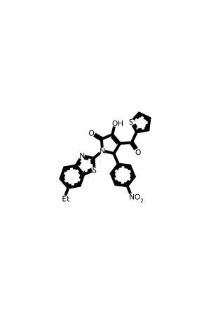 CCc1ccc2nc(N3C(=O)C(O)=C(C(=O)c4cccs4)C3c3ccc([N+](=O)[O-])cc3)sc2c1